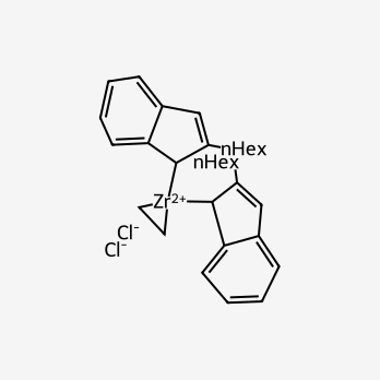 CCCCCCC1=Cc2ccccc2[CH]1[Zr+2]1([CH]2C(CCCCCC)=Cc3ccccc32)[CH2][CH2]1.[Cl-].[Cl-]